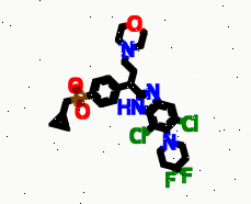 O=S(=O)(CC1CC1)c1ccc(C(CCN2CCOCC2)c2nc3cc(Cl)c(N4CCC(F)(F)CC4)c(Cl)c3[nH]2)cc1